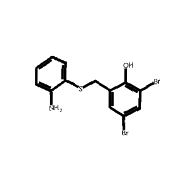 Nc1ccccc1SCc1cc(Br)cc(Br)c1O